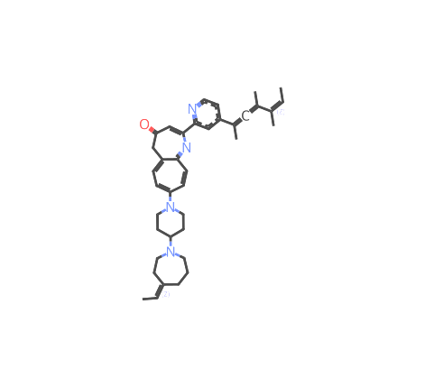 C/C=C1/CCCN(C2CCN(C3=CC=C4CC(=O)C=C(c5cc(C(C)=C=C(C)/C(C)=C\C)ccn5)N=C4C=C3)CC2)CC1